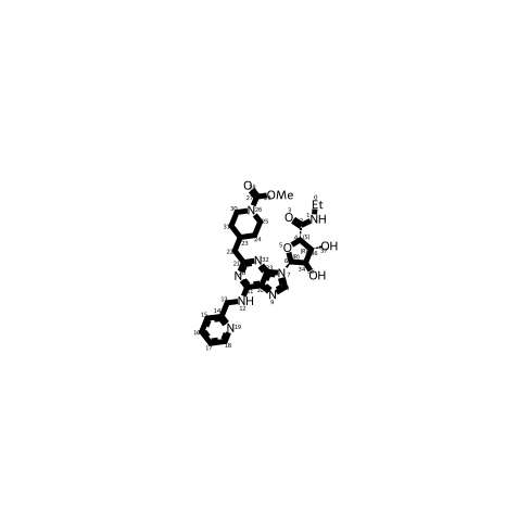 CCNC(=O)[C@H]1O[C@@H](n2cnc3c(NCc4ccccn4)nc(CC4CCN(C(=O)OC)CC4)nc32)C(O)[C@H]1O